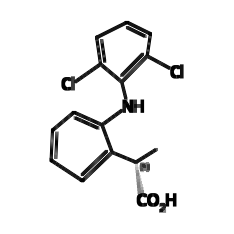 C[C@H](C(=O)O)c1ccccc1Nc1c(Cl)cccc1Cl